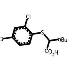 CCCCC(Sc1ccc(Cl)cc1Cl)C(=O)O